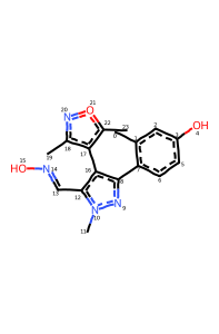 Cc1cc(O)ccc1-c1nn(C)c(C=NO)c1-c1c(C)noc1C